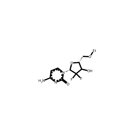 CCOC[C@H]1O[C@@H](n2ccc(N)nc2=O)C(F)(F)C1O